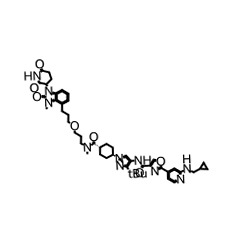 CN(CCCOCCCc1cccc2c1n(C)c(=O)n2C1CCC(=O)NC1=O)C(=O)[C@H]1CC[C@H](n2cc(NC(=O)c3coc(-c4ccnc(NCC5CC5)c4)n3)c(C(C)(C)C)n2)CC1